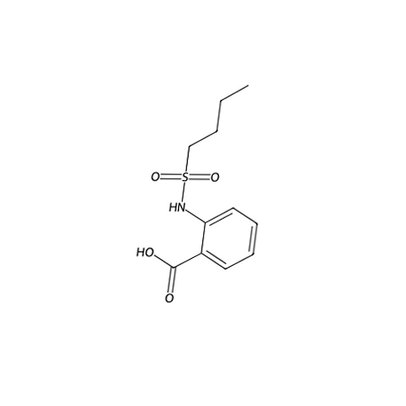 CCCCS(=O)(=O)Nc1ccccc1C(=O)O